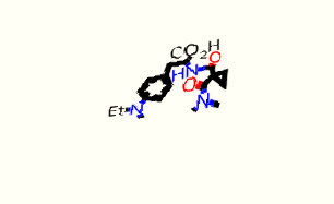 CCN(C)c1ccc(CC(NC(=O)C2(C(=O)N(C)C)CC2)C(=O)O)cc1